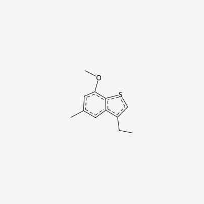 CCc1csc2c(OC)cc(C)cc12